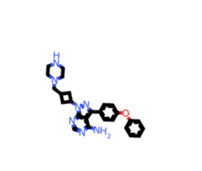 Nc1ncnc2c1c(-c1ccc(Oc3ccccc3)cc1)nn2C1CC(CN2CCNCC2)C1